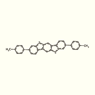 Cc1ccc(-c2ccc3c(c2)sc2cc4c(cc23)sc2cc(-c3ccc(C)cc3)ccc24)cc1